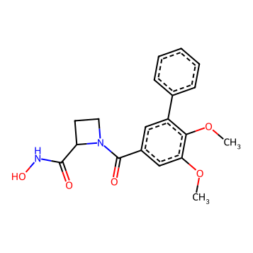 COc1cc(C(=O)N2CCC2C(=O)NO)cc(-c2ccccc2)c1OC